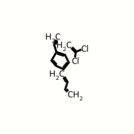 C=C(Cl)Cl.C=CC=C.C=Cc1ccccc1